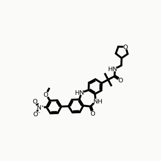 COc1cc(-c2ccc3c(c2)Nc2ccc(C(C)(C)C(=O)NCC4CCOC4)cc2NC3=O)ccc1[N+](=O)[O-]